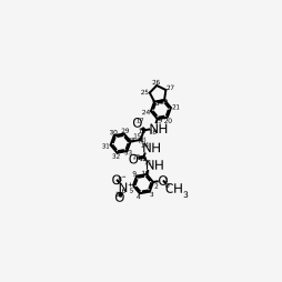 COc1ccc([N+](=O)[O-])cc1NC(=O)N[C@@H](C(=O)Nc1ccc2c(c1)CCC2)c1ccccc1